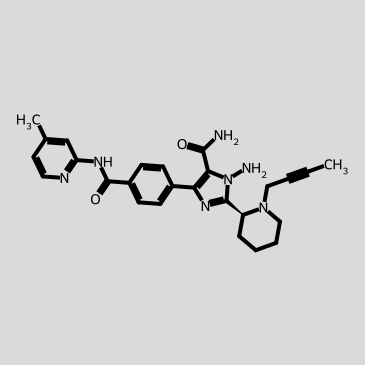 CC#CCN1CCCC[C@H]1c1nc(-c2ccc(C(=O)Nc3cc(C)ccn3)cc2)c(C(N)=O)n1N